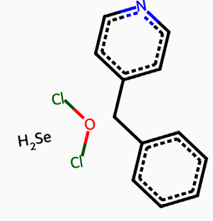 ClOCl.[SeH2].c1ccc(Cc2ccncc2)cc1